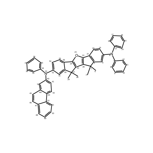 CC1(C)c2cc(N(c3ccccc3)c3ccccc3)ccc2-c2oc3c(c21)C(C)(C)c1cc(N(c2ccccc2)c2ccc4c(ccc5ccccc54)c2)ccc1-3